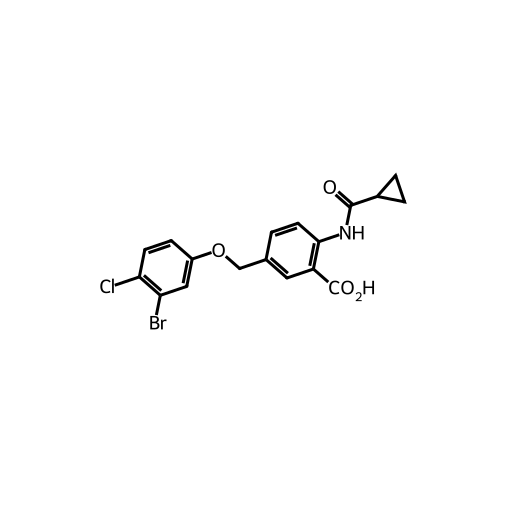 O=C(O)c1cc(COc2ccc(Cl)c(Br)c2)ccc1NC(=O)C1CC1